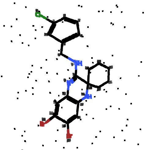 Clc1cccc(CNC2=Nc3cc(Br)c(Br)cc3NC23CCCCC3)c1